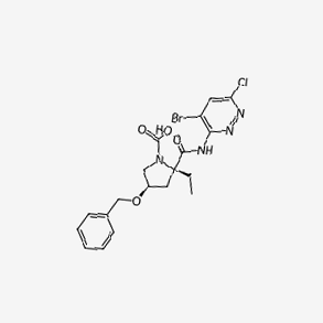 CC[C@@]1(C(=O)Nc2nnc(Cl)cc2Br)C[C@@H](OCc2ccccc2)CN1C(=O)O